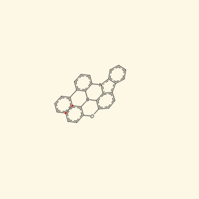 c1ccc(-c2cccc3c2B2c4ccccc4Oc4ccc5c6ccccc6n-3c5c42)cc1